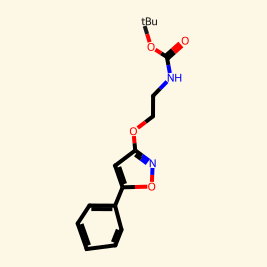 CC(C)(C)OC(=O)NCCOc1cc(-c2ccccc2)on1